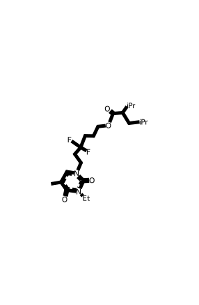 CCn1c(=O)c(C)cn(CCC(F)(F)CCCOC(=O)C(CC(C)C)C(C)C)c1=O